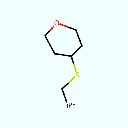 [CH2]C(C)CSC1CCOCC1